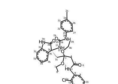 CCOC(CC(=O)Nc1ccccc1Cl)(C[C@@]1(NC(=O)Nc2ccc(C)cc2)C(=O)Nc2ccccc21)OCC